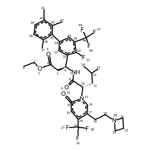 CCOC(=O)C[C@H](NC(=O)[C@H](CC(C)C)n1cc(CCN2CCC2)c(C(F)(F)F)cc1=O)c1cc(-c2c(C)ccc(C)c2C)cc(C(F)(F)F)c1F